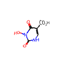 O=C(O)c1c[nH]c(=O)n(O)c1=O